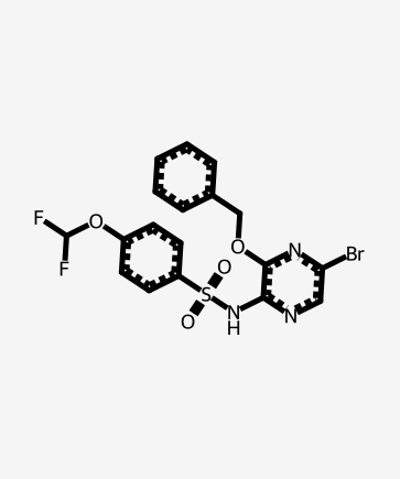 O=S(=O)(Nc1ncc(Br)nc1OCc1ccccc1)c1ccc(OC(F)F)cc1